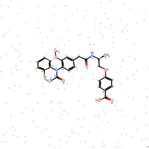 COc1cc(CC(=O)N[C@@H](C)COc2ccc(C(=O)O)cc2)ccc1N(C(N)=O)c1ccccc1Br